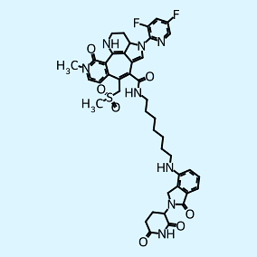 Cn1ccc2c(c1=O)C1=C3C(=CN(c4ncc(F)cc4F)C3CCN1)C(C(=O)NCCCCCCCNc1cccc3c1CN(C1CCC(=O)NC1=O)C3=O)=C2CS(C)(=O)=O